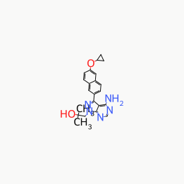 CC(C)(O)Cn1nc(-c2ccc3cc(OC4CC4)ccc3c2)c2c(N)ncnc21